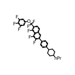 CCCC1CCC(c2ccc(-c3cc4ccc(C(F)(F)Oc5cc(F)c(F)c(F)c5)c(F)c4c(F)c3F)cc2)CC1